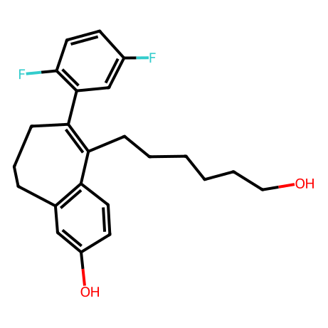 OCCCCCCC1=C(c2cc(F)ccc2F)CCCc2cc(O)ccc21